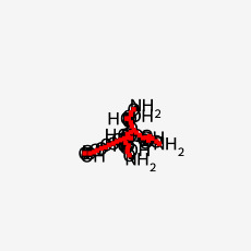 NCOCCC(CO)OP(=O)(O)OCCCOCC(CCOP(=O)(O)OCCOCCOCCOCCOCCOCCOP(=O)(O)OI)(COCCCOP(=O)(O)OC(CO)CCOCN)COCCCOP(=O)(O)OC(CO)CCOCN